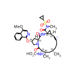 COc1cnc(O[C@@H]2C[C@H]3C(=O)N[C@]4(C(=O)N(C)S(=O)(=O)C5CC5)C[C@H]4/C=C\CC[C@H](C)C[C@@H](C)[C@H](NC(=O)O)C(=O)N3C2)c2ccccc12